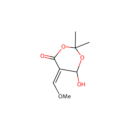 CO/C=C1/C(=O)OC(C)(C)OC1O